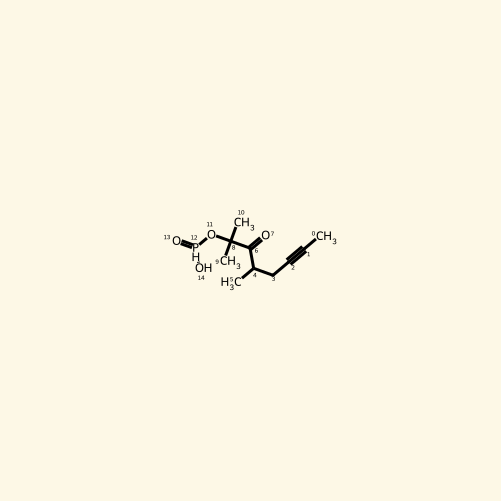 CC#CCC(C)C(=O)C(C)(C)O[PH](=O)O